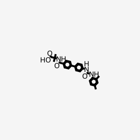 Cc1ccc(NC(=O)Nc2ccc(-c3ccc(C(=O)NC(C)(C)C(=O)O)cc3)cc2)c(C)c1